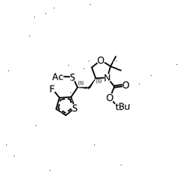 CC(=O)S[C@@H](C[C@H]1COC(C)(C)N1C(=O)OC(C)(C)C)c1sccc1F